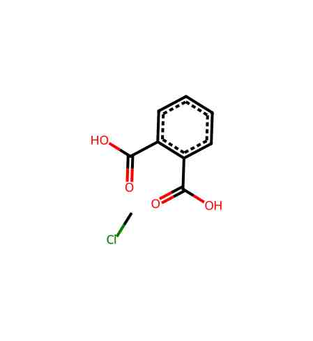 CCl.O=C(O)c1ccccc1C(=O)O